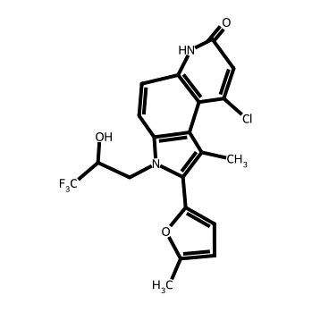 Cc1ccc(-c2c(C)c3c4c(Cl)cc(=O)[nH]c4ccc3n2CC(O)C(F)(F)F)o1